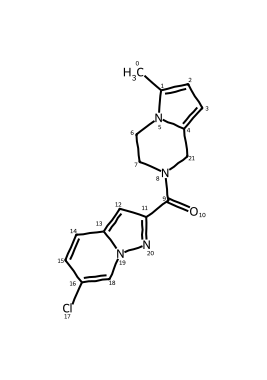 Cc1ccc2n1CCN(C(=O)c1cc3ccc(Cl)cn3n1)C2